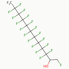 OC(CF)C(F)(F)C(F)(F)C(F)(F)C(F)(F)C(F)(F)C(F)(F)C(F)(F)C(F)(F)C(F)(F)C(F)(F)F